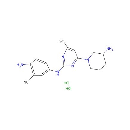 CCCc1cc(N2CCC[C@@H](N)C2)nc(Nc2ccc(N)c(C#N)c2)n1.Cl.Cl